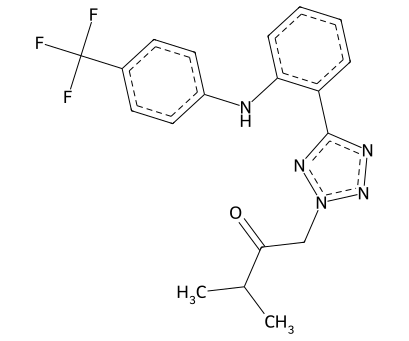 CC(C)C(=O)Cn1nnc(-c2ccccc2Nc2ccc(C(F)(F)F)cc2)n1